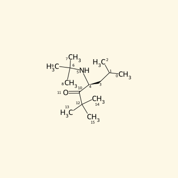 CC(C)C[C@H](NC(C)(C)C)C(=O)C(C)(C)C